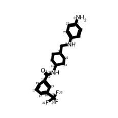 Nc1ccc(NCC2CCC(NC(=O)c3cccc(C(F)(F)F)c3)CC2)cc1